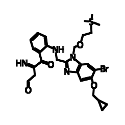 CS(C)(C)CCOCn1c(CNc2ccccc2C(=O)C(=N)CC=O)nc2cc(OCC3CC3)c(Br)cc21